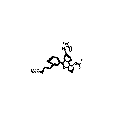 COCCCc1cccc(C2Oc3cccc(OC(F)F)c3-c3ccc(NS(C)(=O)=O)cc32)c1